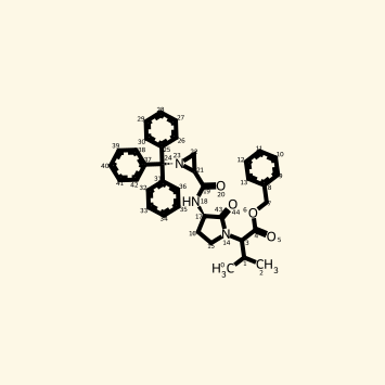 CC(C)C(C(=O)OCc1ccccc1)N1CC[C@@H](NC(=O)C2C[N@@]2C(c2ccccc2)(c2ccccc2)c2ccccc2)C1=O